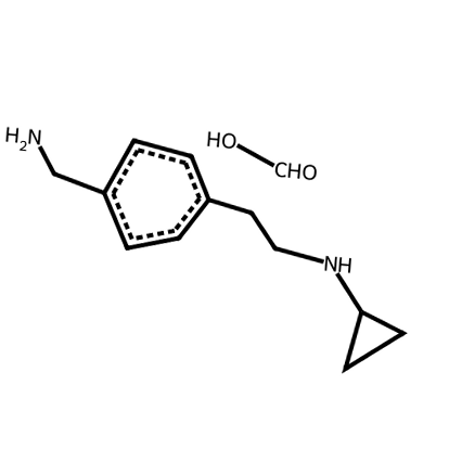 NCc1ccc(CCNC2CC2)cc1.O=CO